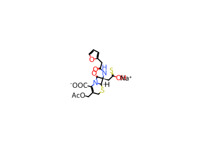 CC(=O)OCC1=C(C(=O)[O-])N2C(=O)[C@](CC(O)=S)(NC(=O)Cc3ccco3)[C@H]2SC1.[Na+]